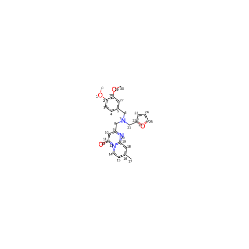 COc1ccc(CN(Cc2cc(=O)n3ccc(C)cc3n2)Cc2ccco2)cc1OC